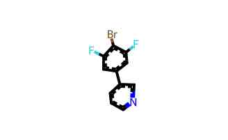 Fc1cc(-c2cccnc2)cc(F)c1Br